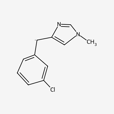 Cn1cnc([CH]c2cccc(Cl)c2)c1